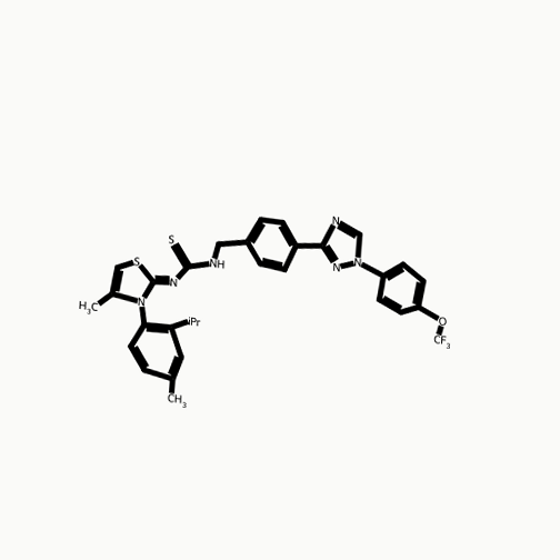 Cc1ccc(-n2c(C)cs/c2=N\C(=S)NCc2ccc(-c3ncn(-c4ccc(OC(F)(F)F)cc4)n3)cc2)c(C(C)C)c1